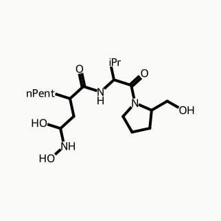 CCCCCC(CC(O)NO)C(=O)NC(C(=O)N1CCCC1CO)C(C)C